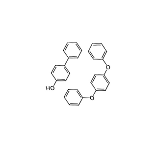 Oc1ccc(-c2ccccc2)cc1.c1ccc(Oc2ccc(Oc3ccccc3)cc2)cc1